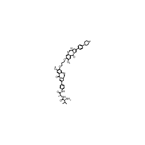 COc1cc2c(cc1OCCCOc1cc3c(cc1OC)C(=O)N1C=C(c4ccc(N5CCN(C)CC5)cc4)C[C@H]1C=N3)N=CC1CC(c3ccc(NC(=O)[C@H](C)NC(=O)[C@@H](N)C(C)C)cc3)=CN1C2=O